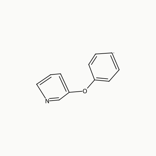 [c]1ccc(Oc2cccnc2)cc1